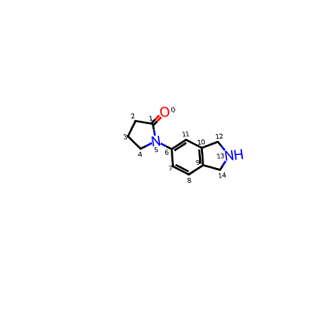 O=C1CCCN1c1ccc2c(c1)CNC2